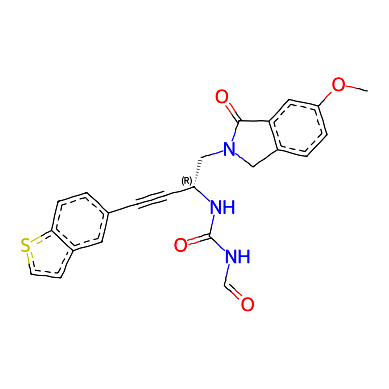 COc1ccc2c(c1)C(=O)N(C[C@@H](C#Cc1ccc3sccc3c1)NC(=O)NC=O)C2